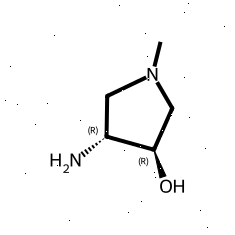 CN1C[C@@H](N)[C@H](O)C1